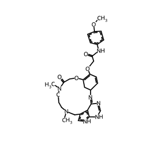 COc1ccc(NC(=O)COC2=C3CC(C=C2)/N=C2\N=CNc4[nH]cc(c42)CN(C)CCCN(C)C(=O)CO3)cc1